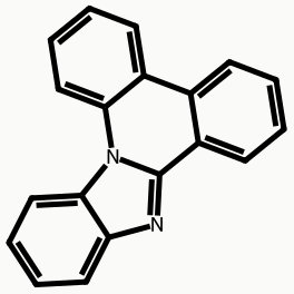 c1ccc2c(c1)nc1c3ccccc3c3ccccc3n21